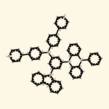 c1ccc(N2c3ccccc3N(c3cc(N(c4ccc(-c5ccncc5)cc4)c4ccc(-c5ccncc5)cc4)cc(-n4c5ccccc5c5ccccc54)c3)c3ccccc32)cc1